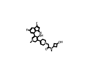 CN1C=C2C(=C(C3=CCN(CC(=O)N(C)C4CC(O)C4)CC3)C1)NN=C1C=C(F)c3cc(F)cc2c31